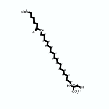 CCCCCCCCCCCCCCCC(=O)OCCCCCCCCCCCCCCCCCCN[C@@H](CS)C(=O)O